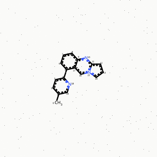 Cc1ccc(-c2cccc3nc4cccn4cc23)nc1